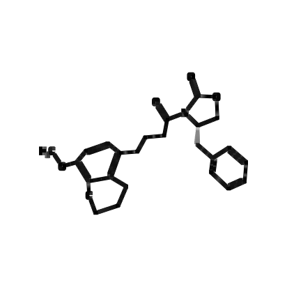 COc1ccc(CCCC(=O)N2C(=O)OC[C@@H]2Cc2ccccc2)c2c1CCCC2